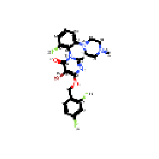 Cc1nc(OCc2ccc(F)cc2F)c(Br)c(=O)n1-c1c(F)cccc1N1CCN(C)CC1